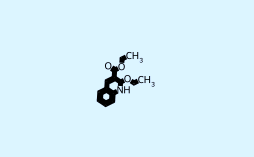 CCOC(=O)C1=Cc2ccccc2NC1OCC